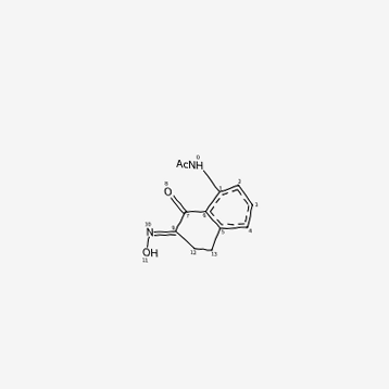 CC(=O)Nc1cccc2c1C(=O)C(=NO)CC2